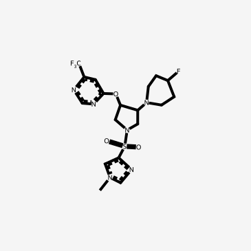 Cn1cnc(S(=O)(=O)N2CC(Oc3cc(C(F)(F)F)ncn3)C(N3CCC(F)CC3)C2)c1